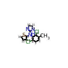 Cc1ccc(Cl)c(N(C2=NCCN2)c2cccs2)c1Cl